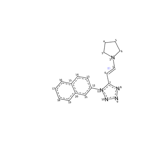 C(=C\N1CCCC1)/c1nnnn1-c1ccc2ccccc2c1